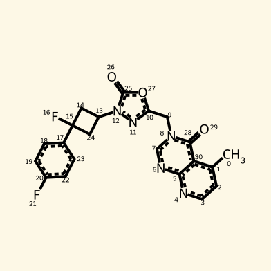 Cc1ccnc2ncn(Cc3nn(C4CC(F)(c5ccc(F)cc5)C4)c(=O)o3)c(=O)c12